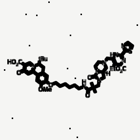 CCOC(=O)C1=C(CN2CCN3C(=O)N(CC(C)(C)C(=O)NCCCCCCOc4cc5c(cc4OC)-c4cc(=O)c(C(=O)O)cn4C(C(C)(C)C)C5)C[C@@H]3C2)NC(c2nccs2)=NC1